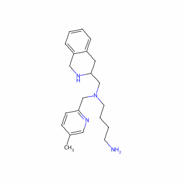 Cc1ccc(CN(CCCCN)CC2Cc3ccccc3CN2)nc1